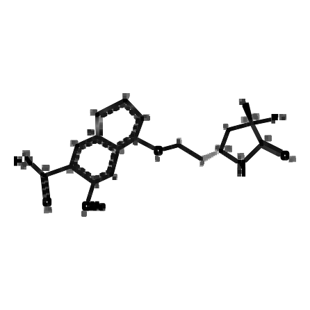 COc1cc2c(OCC[C@@H]3C[C@](C)(F)C(=O)N3)cccc2cc1C(N)=O